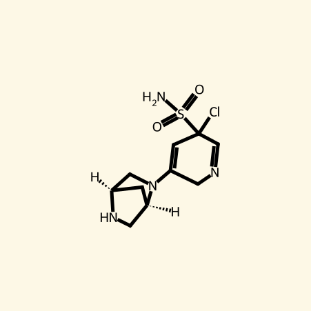 NS(=O)(=O)C1(Cl)C=NCC(N2C[C@H]3C[C@@H]2CN3)=C1